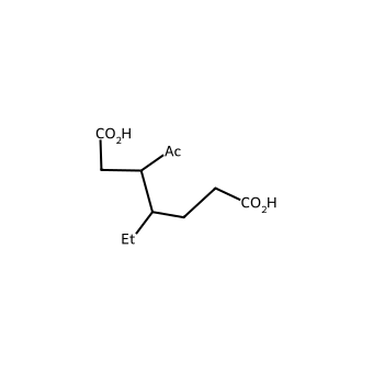 CCC(CCC(=O)O)C(CC(=O)O)C(C)=O